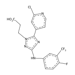 O=C(O)CCn1nc(Nc2ccc(F)c(C(F)(F)F)c2)nc1-c1ccnc(Cl)c1